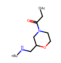 CCCCNCC1CN(C(=O)COC(C)=O)CCO1